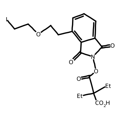 CCC(CC)(C(=O)O)C(=O)ON1C(=O)c2cccc(CCOCCI)c2C1=O